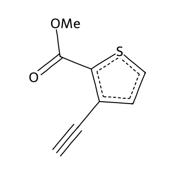 C#Cc1ccsc1C(=O)OC